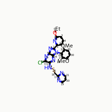 CCOc1cccc(-c2nc3nc(Cl)c(NSCc4ncccn4)nc3n2-c2c(OC)cccc2OC)n1